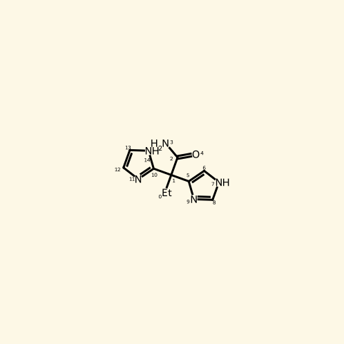 CCC(C(N)=O)(c1c[nH]cn1)c1ncc[nH]1